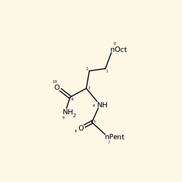 CCCCCCCCCCC(NC(=O)CCCCC)C(N)=O